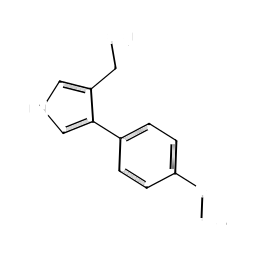 CCCCCCOc1ccc(-c2c[nH]cc2CC(=O)O)cc1